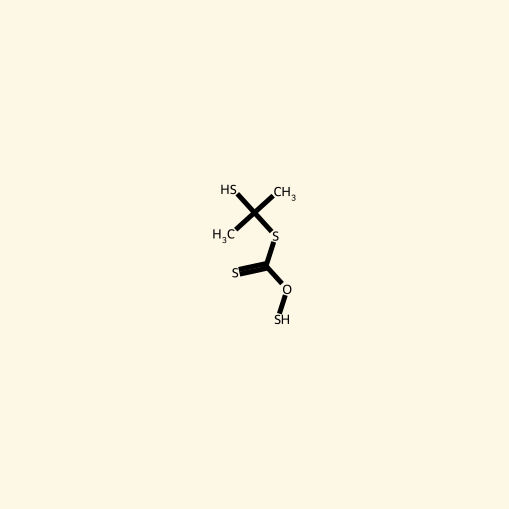 CC(C)(S)SC(=S)OS